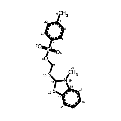 Cc1ccc(S(=O)(=O)OCSC2Sc3ccccc3N2C)cc1